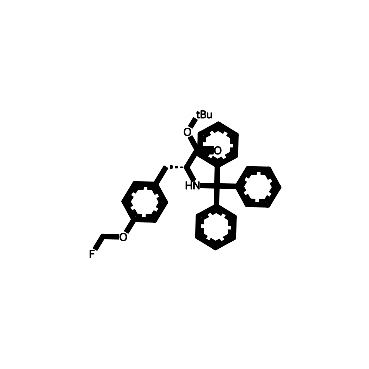 CC(C)(C)OC(=O)[C@@H](Cc1ccc(OCF)cc1)NC(c1ccccc1)(c1ccccc1)c1ccccc1